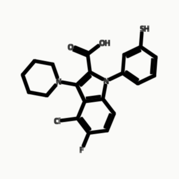 O=C(O)c1c(N2CCCCC2)c2c(Cl)c(F)ccc2n1-c1cccc(S)c1